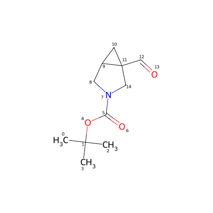 CC(C)(C)OC(=O)N1CC2CC2(C=O)C1